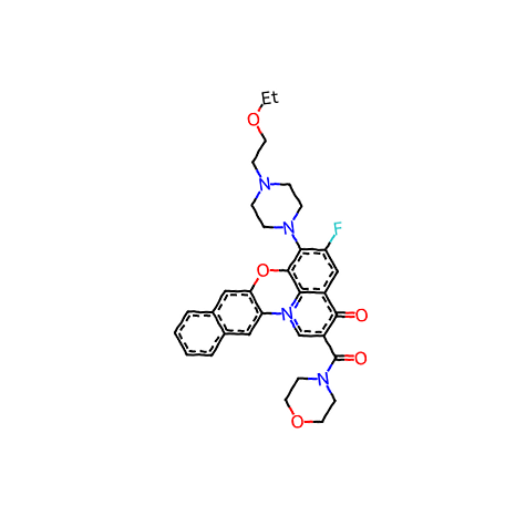 CCOCCN1CCN(c2c(F)cc3c(=O)c(C(=O)N4CCOCC4)cn4c3c2Oc2cc3ccccc3cc2-4)CC1